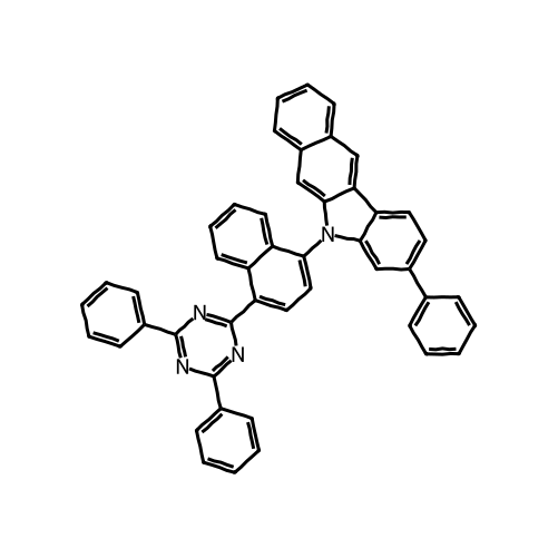 c1ccc(-c2ccc3c4cc5ccccc5cc4n(-c4ccc(-c5nc(-c6ccccc6)nc(-c6ccccc6)n5)c5ccccc45)c3c2)cc1